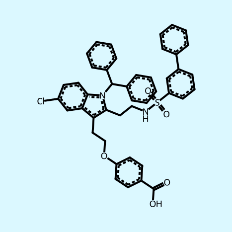 O=C(O)c1ccc(OCCc2c(CCNS(=O)(=O)c3cccc(-c4ccccc4)c3)n(C(c3ccccc3)c3ccccc3)c3ccc(Cl)cc23)cc1